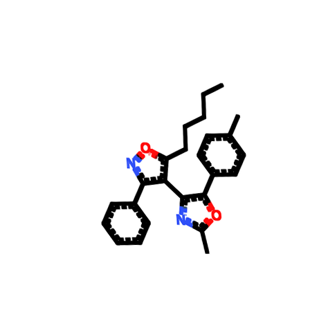 CCCCCc1onc(-c2ccccc2)c1-c1nc(C)oc1-c1ccc(C)cc1